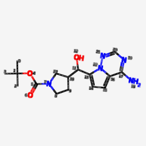 CC(C)(C)OC(=O)N1CCC(C(O)c2ccc3c(N)ncnn23)C1